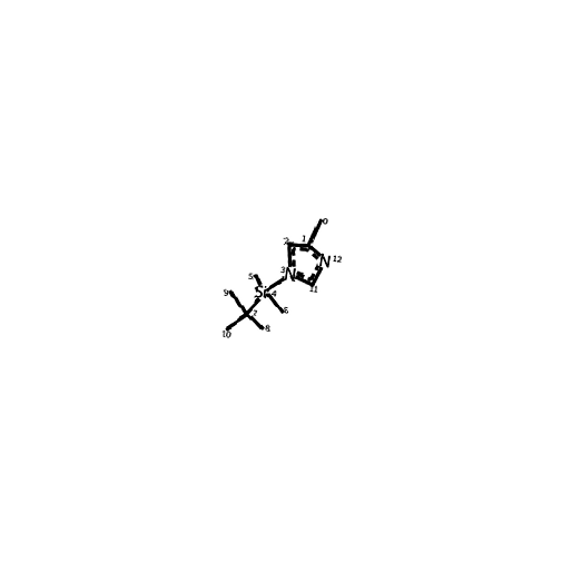 Cc1cn([Si](C)(C)C(C)(C)C)cn1